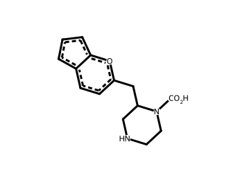 O=C(O)N1CCNCC1Cc1ccc2cccc-2o1